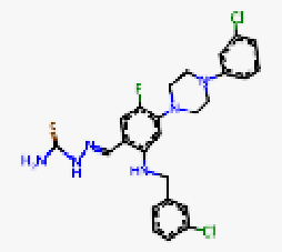 NC(=S)NN=Cc1cc(F)c(N2CCN(c3cccc(Cl)c3)CC2)cc1NCc1cccc(Cl)c1